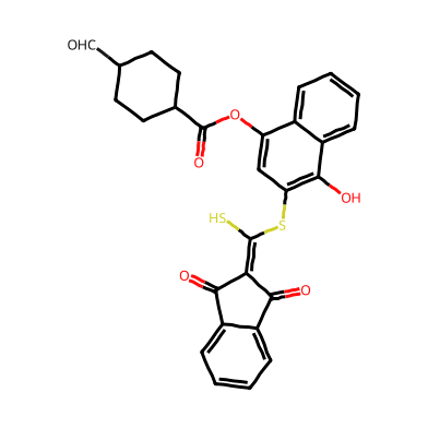 O=CC1CCC(C(=O)Oc2cc(SC(S)=C3C(=O)c4ccccc4C3=O)c(O)c3ccccc23)CC1